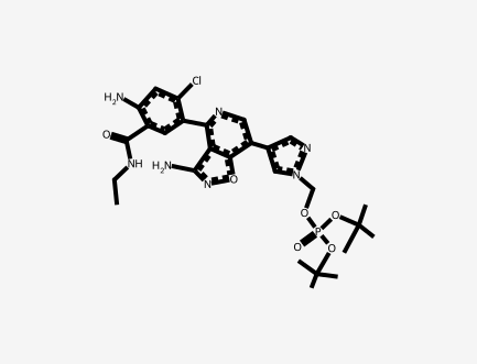 CCNC(=O)c1cc(-c2ncc(-c3cnn(COP(=O)(OC(C)(C)C)OC(C)(C)C)c3)c3onc(N)c23)c(Cl)cc1N